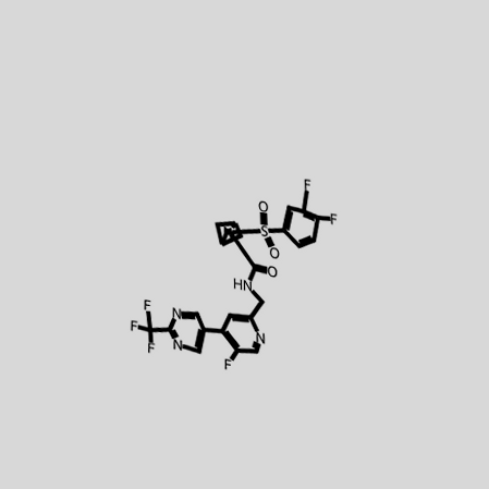 O=C(NCc1cc(-c2cnc(C(F)(F)F)nc2)c(F)cn1)C1C2CC(C2)N1S(=O)(=O)c1ccc(F)c(F)c1